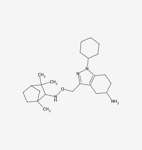 CC12CCC(C1)C(C)(C)C2NOCc1nn(C2CCCCC2)c2c1CC(N)CC2